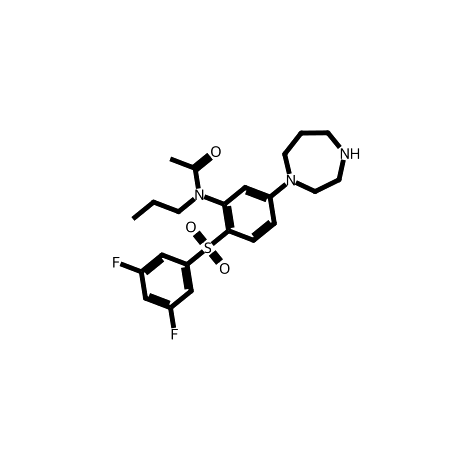 CCCN(C(C)=O)c1cc(N2CCCNCC2)ccc1S(=O)(=O)c1cc(F)cc(F)c1